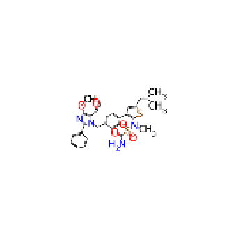 COc1nc(-c2ccccc2)n(Cc2ccc(-c3cc(CC(C)C)sc3N(C)S(=O)(=O)C(N)=O)cc2)c1C=O